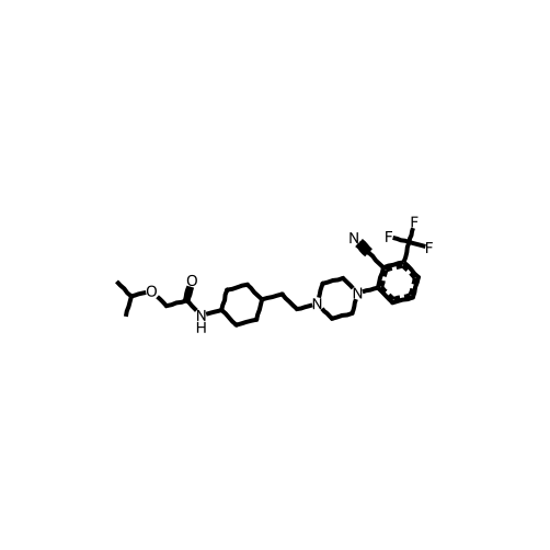 CC(C)OCC(=O)NC1CCC(CCN2CCN(c3cccc(C(F)(F)F)c3C#N)CC2)CC1